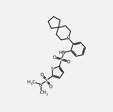 CN(C)S(=O)(=O)c1ccc(S(=O)(=O)Nc2ccccc2N2CCC3(CCCC3)CC2)s1